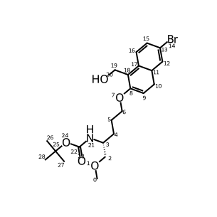 COC[C@@H](CCCOC1=CCC2C=C(Br)C=CC2=C1CO)NC(=O)OC(C)(C)C